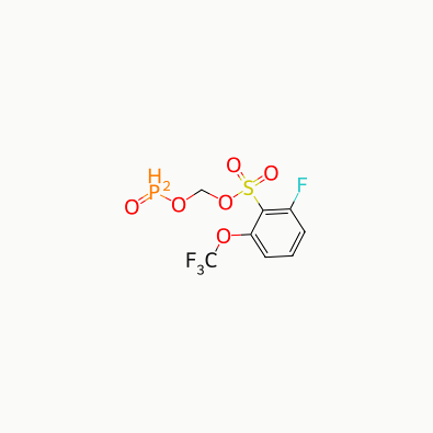 O=[PH2]OCOS(=O)(=O)c1c(F)cccc1OC(F)(F)F